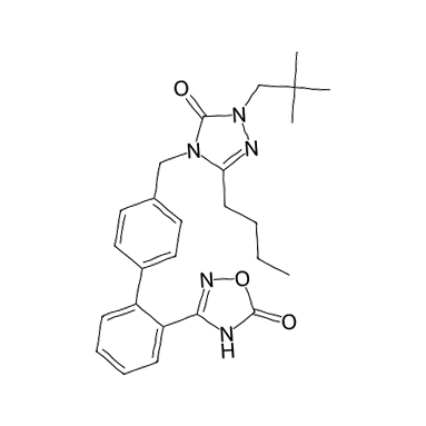 CCCCc1nn(CC(C)(C)C)c(=O)n1Cc1ccc(-c2ccccc2-c2noc(=O)[nH]2)cc1